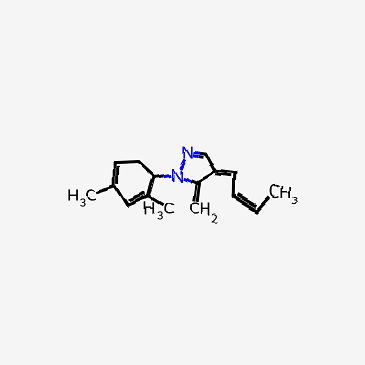 C=c1/c(=C\C=C/C)cnn1C1CC=C(C)C=C1C